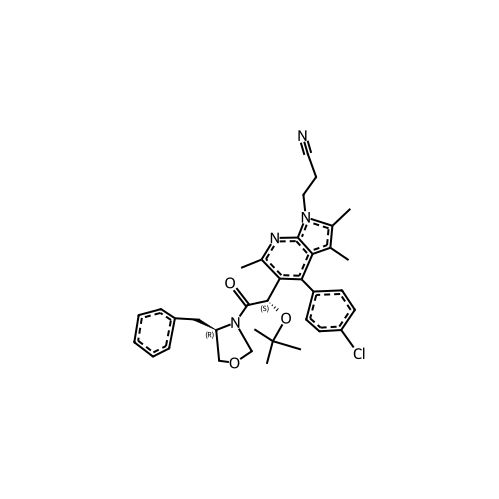 Cc1nc2c(c(C)c(C)n2CCC#N)c(-c2ccc(Cl)cc2)c1[C@H](OC(C)(C)C)C(=O)N1COC[C@H]1Cc1ccccc1